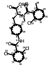 COC(=O)[C@H](Cc1ccc(NC(=O)c2c(Cl)cccc2Cl)cc1)N(C)C(=O)c1c(C)cccc1Cl